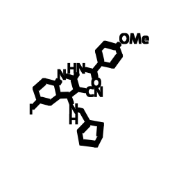 COc1ccc(C(=O)Nc2nc3ccc(I)cc3c(NCc3ccccc3)c2C#N)cc1